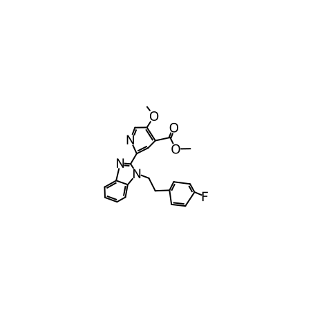 COC(=O)c1cc(-c2nc3ccccc3n2CCc2ccc(F)cc2)ncc1OC